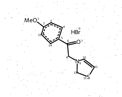 Br.COc1ccc(C(=O)CN2C=CSC2)cc1